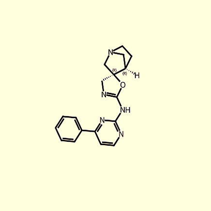 c1ccc(-c2ccnc(NC3=NC[C@@]4(CN5CC[C@@H]4C5)O3)n2)cc1